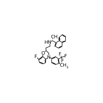 Cc1ccc(N2CC(CCN[C@H](C)c3cccc4ccccc34)Oc3c(F)cccc32)cc1C(F)(F)F